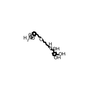 NS(=O)(=O)c1cccc(CCCOCCCCCCNC[C@@H](O)c2ccc(O)c(CO)c2)c1